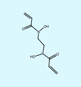 C=CC(=O)N(O)CCN(O)C(=O)C=C